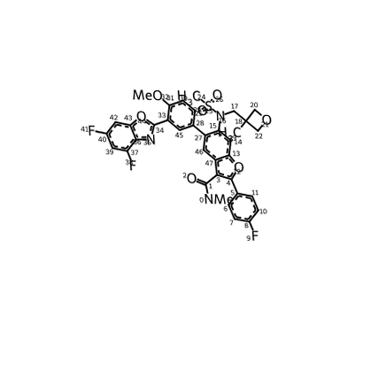 CNC(=O)c1c(-c2ccc(F)cc2)oc2cc(N(CC3(C)COC3)S(C)(=O)=O)c(-c3ccc(OC)c(-c4nc5c(F)cc(F)cc5o4)c3)cc12